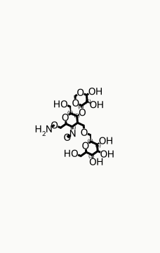 NOCC1O[C@@H](CO)[C@@H](O[C@@H]2OCOC(O)[C@@H]2O)C(COC[C@@H]2OC(CO)[C@@H](O)C(O)[C@@H]2O)[C@@H]1N=O